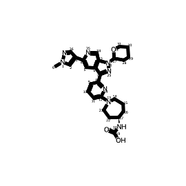 Cn1cc(-c2cc3c(-c4cccc(N5CCC[C@H](NC(=O)O)CC5)n4)nn(C4CCCCO4)c3cn2)cn1